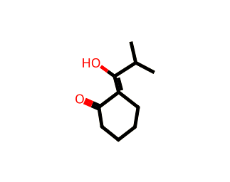 CC(C)/C(O)=C1\CCCCC1=O